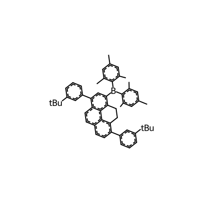 Cc1cc(C)c(B(c2cc(-c3cccc(C(C)(C)C)c3)c3ccc4ccc(-c5cccc(C(C)(C)C)c5)c5c4c3c2CC5)c2c(C)cc(C)cc2C)c(C)c1